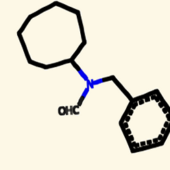 O=CN(Cc1ccccc1)C1CCCCCCC1